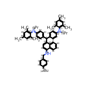 CCCN(c1ccc(C(c2ccc(N(CCC)c3c(C)cc(C)cc3C)cc2)c2ccc(NCc3ccc(C(C)CC)cc3)c3ccccc23)cc1)c1c(C)cc(C)cc1C